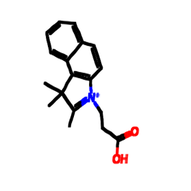 CC1=[N+](CCC(=O)O)c2ccc3ccccc3c2C1(C)C